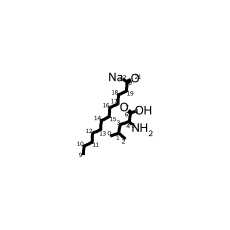 CC(C)CC(N)C(=O)O.CCCCCCCCCCC[C](=O)[Na]